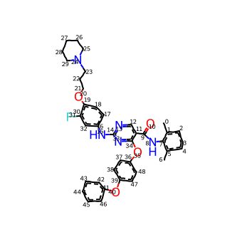 Cc1cccc(C)c1NC(=O)c1cnc(Nc2ccc(OCCCN3CCCCC3)c(F)c2)nc1Oc1ccc(Oc2ccccc2)cc1